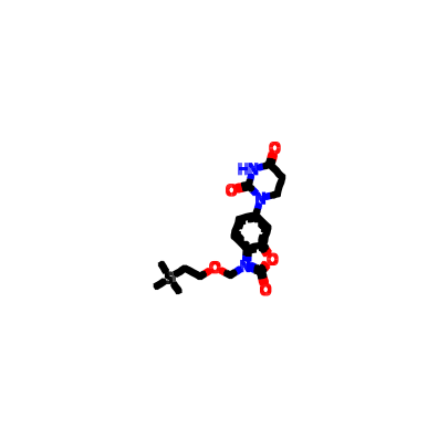 C[Si](C)(C)CCOCn1c(=O)oc2cc(N3CCC(=O)NC3=O)ccc21